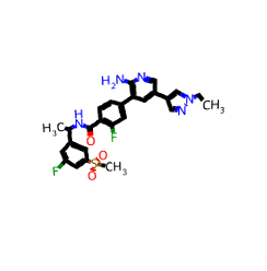 CCn1cc(-c2cnc(N)c(-c3ccc(C(=O)NC(C)c4cc(F)cc(S(C)(=O)=O)c4)c(F)c3)c2)cn1